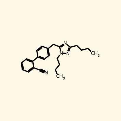 CCCCc1nc(Cc2ccc(-c3ccccc3C#N)cc2)n(CCCC)n1